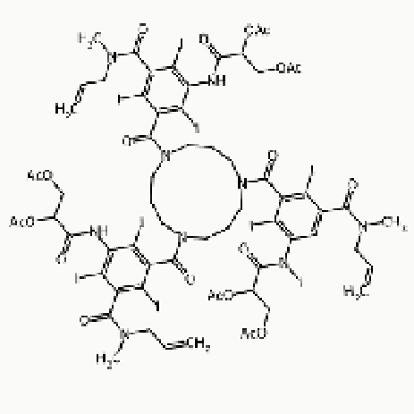 C=CCN(C)C(=O)c1cc(N(I)C(=O)C(COC(C)=O)OC(C)=O)c(I)c(C(=O)N2CCCN(C(=O)c3c(I)c(NC(=O)C(COC(C)=O)OC(C)=O)c(I)c(C(=O)N(C)CC=C)c3I)CCCN(C(=O)c3c(I)c(NC(=O)C(COC(C)=O)OC(C)=O)c(I)c(C(=O)N(C)CC=C)c3I)CCC2)c1I